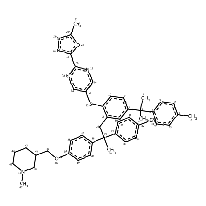 Cc1ccc(C(C)(C)c2ccc(Sc3cnc(-c4nnc(C)o4)nc3)c(CC(C)(c3ccc(C)cc3)c3ccc(OCC4CCCN(C)C4)cc3)c2)cc1